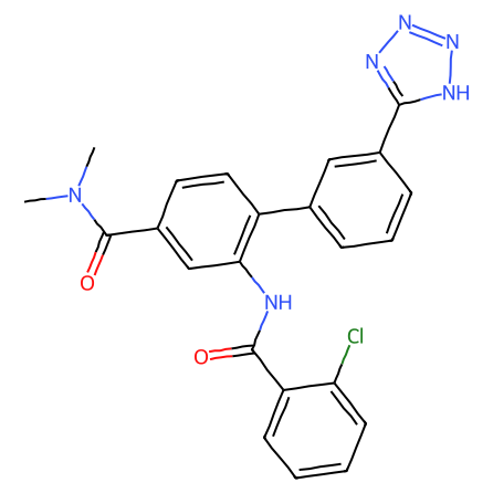 CN(C)C(=O)c1ccc(-c2cccc(-c3nnn[nH]3)c2)c(NC(=O)c2ccccc2Cl)c1